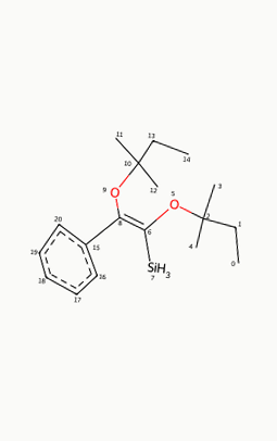 CCC(C)(C)OC([SiH3])=C(OC(C)(C)CC)c1ccccc1